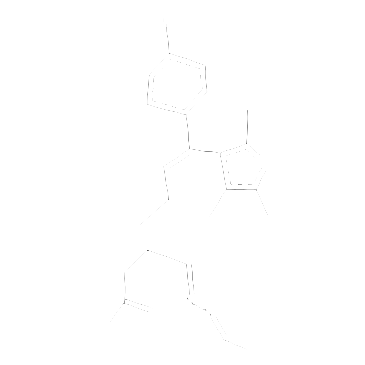 C/C=N/N=C/[C@@H](CC/C=C(/c1ccc(Cl)cc1)c1c(C)sc(C)c1C)CC(=O)O